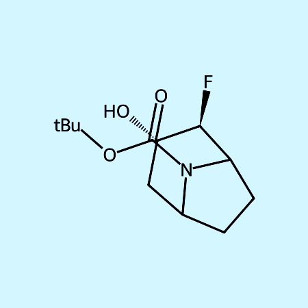 CC(C)(C)OC(=O)N1C2CCC1[C@H](F)[C@@H](O)C2